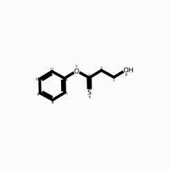 OCCC(=S)Oc1ccccc1